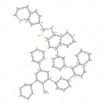 Cc1c(-c2ccccc2)cc(-c2ccccc2)cc1-c1cccc(-c2ccc3ccccc3c2-c2cccc(-c3cc4sc(-c5ccc6cccnc6c5)nc4c4ccccc34)c2)c1